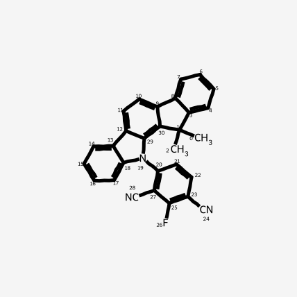 CC1(C)c2ccccc2-c2ccc3c4ccccc4n(-c4ccc(C#N)c(F)c4C#N)c3c21